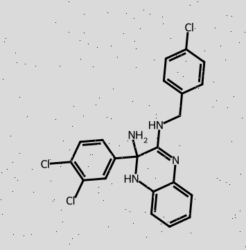 NC1(c2ccc(Cl)c(Cl)c2)Nc2ccccc2N=C1NCc1ccc(Cl)cc1